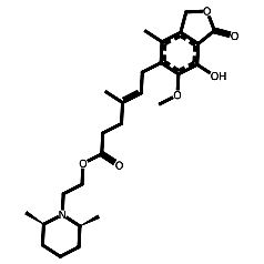 COc1c(O)c2c(c(C)c1C/C=C(\C)CCC(=O)OCCN1[C@H](C)CCC[C@@H]1C)COC2=O